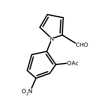 CC(=O)Oc1cc([N+](=O)[O-])ccc1-n1cccc1C=O